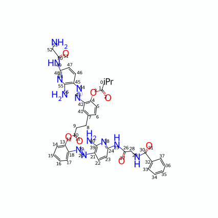 CC(C)C(=O)Oc1ccc(CCC(=O)Oc2ccccc2/N=N/c2ccc(NC(=O)CNC(=O)c3ccccc3)nc2N)cc1/N=N/c1ccc(NC(=O)CN)nc1N